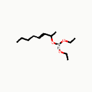 CCCCC=CC(C)O[SiH](OCC)OCC